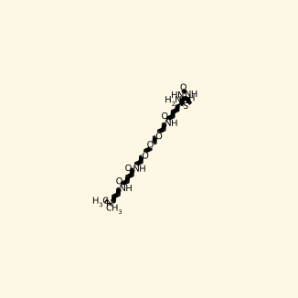 CN(C)CCCCNC(=O)CCCC(=O)NCCCOCCOCCOCCCNC(=O)CCCC[C@@H]1SC[C@@H]2NC(=O)N[C@@]21N